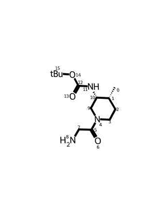 C[C@@H]1CCN(C(=O)CN)C[C@@H]1NC(=O)OC(C)(C)C